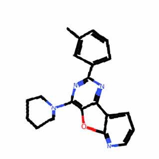 Cc1cccc(-c2nc(N3CCCCC3)c3oc4ncccc4c3n2)c1